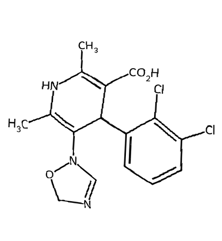 CC1=C(C(=O)O)C(c2cccc(Cl)c2Cl)C(N2C=NCO2)=C(C)N1